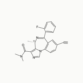 C#Cc1ccc2c(c1)C(c1ccccc1F)=N[C@@H](C)c1c(C(=O)N(C)C)ncn1-2